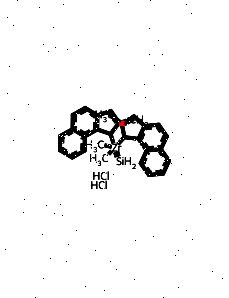 CC1=Cc2ccc3ccccc3c2[CH]1[Zr]([CH3])([CH3])(=[SiH2])[CH]1C(C)=Cc2ccc3ccccc3c21.Cl.Cl